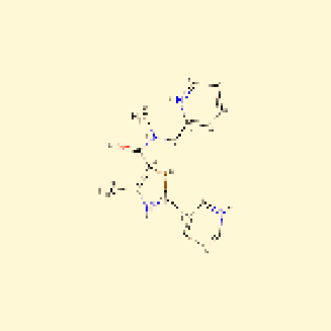 Cc1nc(-c2cccnc2)sc1C(=O)N(C)Cc1ccccn1